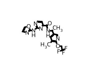 Cc1cc(C(C)NC(=O)c2ccnc(Nc3ncco3)n2)cnc1OCC(F)(F)F